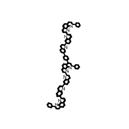 c1ccc(-c2ccc3ccc4ccc(-c5ccc6ccc(-c7ccc8ccc(-c9ccc%10ccc%11c(-c%12ccc(-c%13ccc%14ccc(-c%15ccc%16ccc(-c%17ccc%18ccc%19ccc(-c%20ccccc%20)nc%19c%18n%17)nc%16c%15)nc%14c%13)cc%12)cc(-c%12ccccc%12)nc%11c%10n9)nc8c7)nc6c5)nc4c3n2)cc1